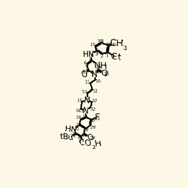 CCc1cc(Nc2cc(=O)n(CCCCN3CCN(c4cc5[nH]c(C(C)(C)C)c(C(=O)O)c(=O)c5cc4F)CC3)c(=O)[nH]2)ccc1C